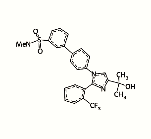 CNS(=O)(=O)c1cccc(-c2ccc(-n3cc(C(C)(C)O)nc3-c3ccccc3C(F)(F)F)cc2)c1